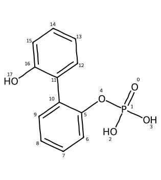 O=P(O)(O)Oc1ccccc1-c1ccccc1O